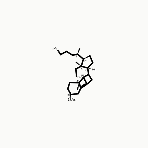 CC(=O)O[C@H]1CC[C@@]2(C)C(=C3CC4[C@@H]5CC[C@H]([C@H](C)CCCC(C)C)[C@@]5(C)CC[C@@]342)C1